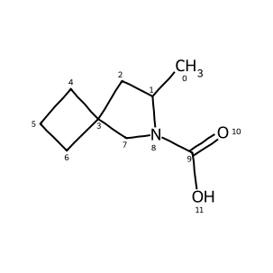 CC1CC2(CCC2)CN1C(=O)O